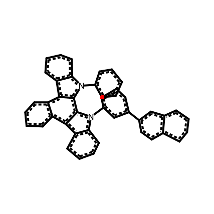 c1ccc(-n2c3ccccc3c3c4ccccc4c4c5ccccc5n(-c5cccc(-c6ccc7ccccc7c6)c5)c4c32)cc1